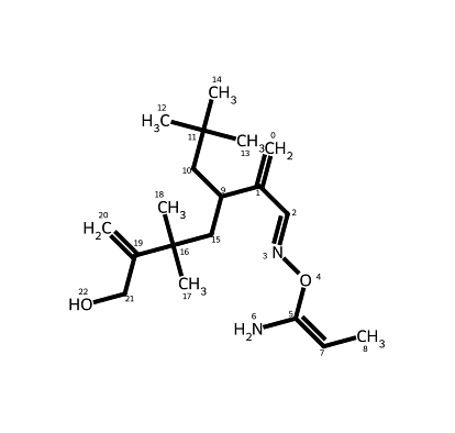 C=C(/C=N/O/C(N)=C\C)C(CC(C)(C)C)CC(C)(C)C(=C)CO